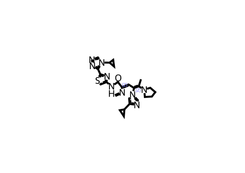 C=N/C(=C\C(=C(/C)N1CCCC1)n1cnc(C2CC2)c1)C(=O)Nc1csc(-c2nncn2C2CC2)n1